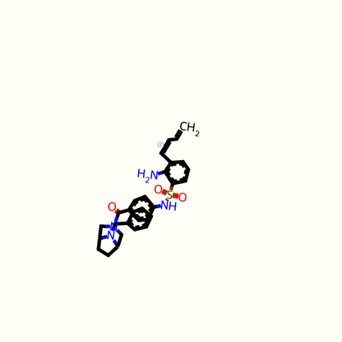 C=C/C=C\c1cccc(S(=O)(=O)Nc2ccc(C(=O)N3CC4CCC(C3)N4Cc3ccccc3)cc2)c1N